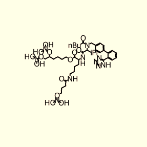 CCCCC(=O)N(Cc1ccc(-c2ccccc2-c2nnn[nH]2)cc1)C(C(=O)NC(CCCCNC(=O)CCCON(O)O)C(=O)OCCCCC(CON(O)O)ON(O)O)C(C)C